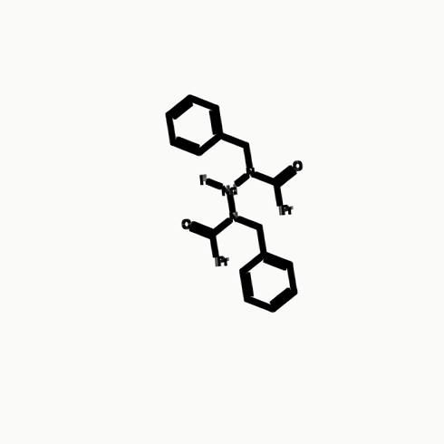 CC(C)C(=O)[N](Cc1ccccc1)[Nd]([F])[N](Cc1ccccc1)C(=O)C(C)C